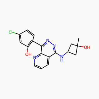 CC1(O)CC(Nc2nnc(-c3ccc(Cl)cc3O)c3ncccc23)C1